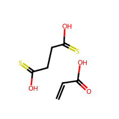 C=CC(=O)O.OC(=S)CCC(O)=S